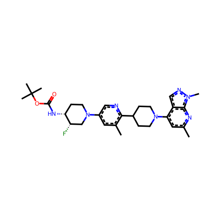 Cc1cc(N2CCC(c3ncc(N4CC[C@@H](NC(=O)OC(C)(C)C)[C@@H](F)C4)cc3C)CC2)c2cnn(C)c2n1